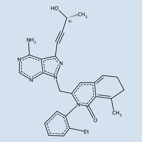 CCc1ccccc1-n1c(Cn2nc(C#C[C@@H](C)O)c3c(N)ncnc32)cc2c(c1=O)=C(C)CCC=2